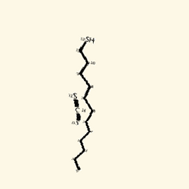 CCCCCCCCCCCCS.S=C=S